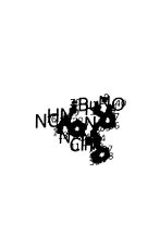 Cn1ccc2c([C@H](Nc3cc(Cl)c4ncc(C#N)c(NCC(C)(C)C)c4c3)c3cn(C45CCC(CC4)C5)nn3)cccc2c1=O